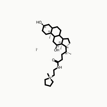 C[C@H](CCC(=O)NCC[N+]1(C)CCCC1)[C@H]1CCC2C3CCC4C[C@H](O)CC[C@]4(C)C3C[C@H](O)[C@@]21C.[I-]